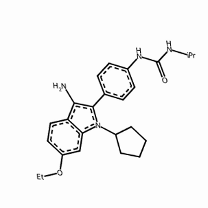 CCOc1ccc2c(N)c(-c3ccc(NC(=O)NC(C)C)cc3)n(C3CCCC3)c2c1